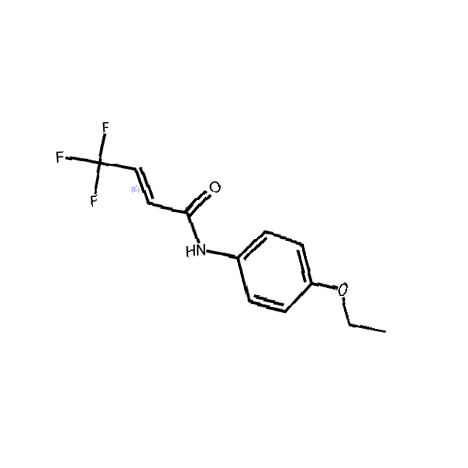 CCOc1ccc(NC(=O)/C=C/C(F)(F)F)cc1